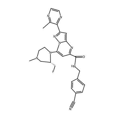 Cc1nccnc1-c1cc2nc(C(=O)NCc3ccc(C#N)cc3)cc(N3CCN(C)C[C@H]3CF)n2n1